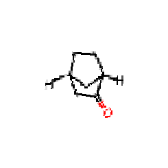 O=C1C[C@@H]2CC[C@H]1C2